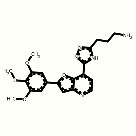 COc1cc(-c2cc3nccc(-c4nnc(CCCN)[nH]4)c3o2)cc(OC)c1OC